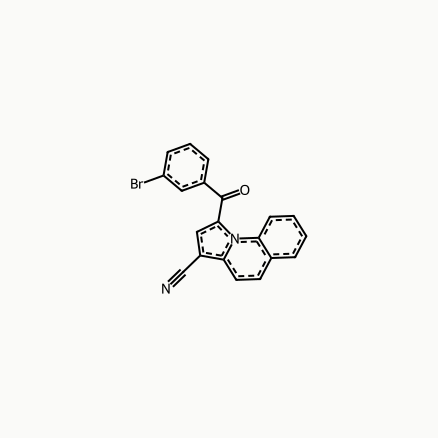 N#Cc1cc(C(=O)c2cccc(Br)c2)n2c1ccc1ccccc12